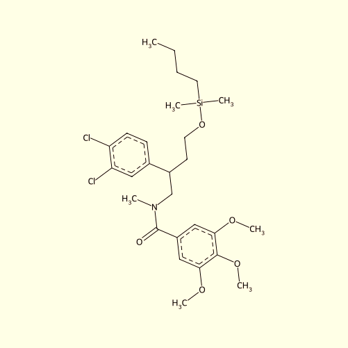 CCCC[Si](C)(C)OCCC(CN(C)C(=O)c1cc(OC)c(OC)c(OC)c1)c1ccc(Cl)c(Cl)c1